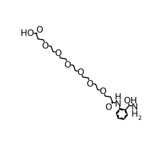 NC(O)c1ccccc1NC(=O)CCOCCOCCOCCOCCOCCOCCC(=O)O